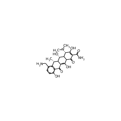 C[C@H]1c2c(CN)ccc(O)c2C(=O)C2=C(O)C3C(=O)C(C(N)=O)=C(O)[C@@H](N(C)C)C3[C@@H](O)C21